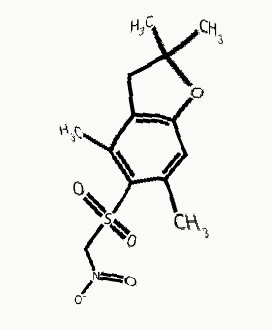 Cc1cc2c(c(C)c1S(=O)(=O)C[N+](=O)[O-])CC(C)(C)O2